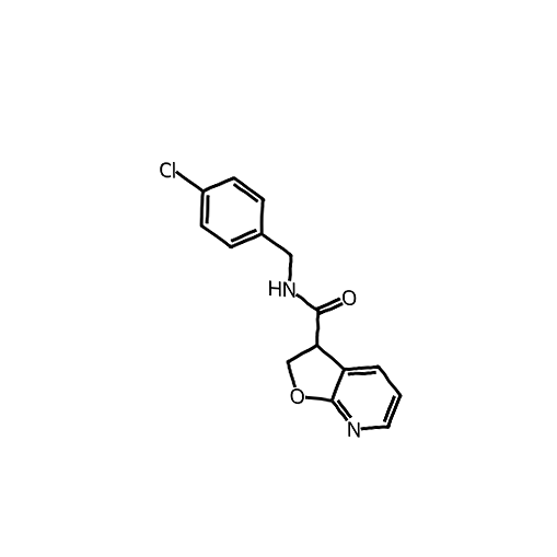 O=C(NCc1ccc(Cl)cc1)C1COc2ncccc21